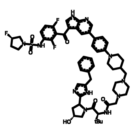 CC(C)(C)[C@H](NC(=O)CN1CCN(CC2CCN(c3ccc(-c4cnc5[nH]cc(C(=O)c6c(F)ccc(NS(=O)(=O)N7CC[C@@H](F)C7)c6F)c5c4)cc3)CC2)CC1)C(=O)N1C[C@H](O)CC1c1ncc(Cc2ccccc2)[nH]1